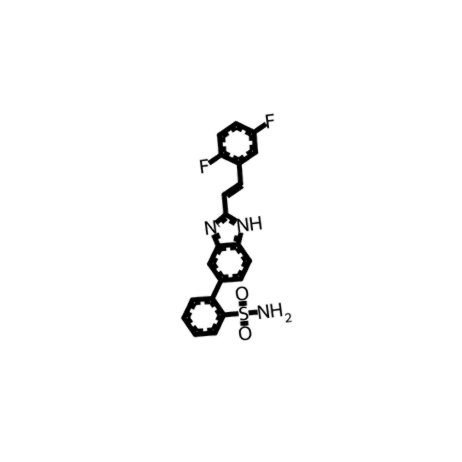 NS(=O)(=O)c1ccccc1-c1ccc2[nH]c(C=Cc3cc(F)ccc3F)nc2c1